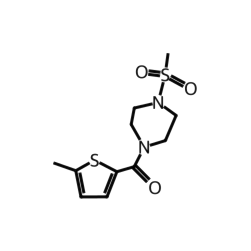 Cc1ccc(C(=O)N2CCN(S(C)(=O)=O)CC2)s1